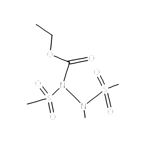 CCOC(=O)N(N(C)S(C)(=O)=O)S(C)(=O)=O